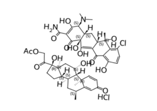 CC(=O)OCC(=O)[C@@]1(O)CC[C@H]2[C@@H]3C[C@H](C)C4=CC(=O)C=C[C@]4(C)[C@H]3[C@@H](O)C[C@@]21C.CN(C)[C@@H]1C(O)=C(C(N)=O)C(=O)[C@@]2(O)C(O)=C3C(=O)c4c(O)ccc(Cl)c4[C@@](C)(O)[C@H]3C[C@@H]12.Cl